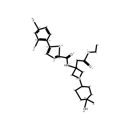 CCOC(=O)CC1(NC(=O)c2ncc(-c3ccc(F)cc3F)s2)CN(C2CCC(C)(O)CC2)C1